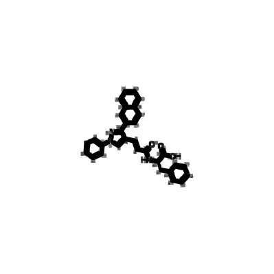 O=C(C=Cc1cn(-c2ccccc2)nc1-c1ccc2ccccc2c1)N[C@H](Cc1ccccc1)C(=O)O